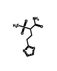 CS(=O)(=O)C(CCc1nccs1)C(N)=O